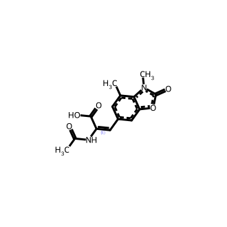 CC(=O)N/C(=C/c1cc(C)c2c(c1)oc(=O)n2C)C(=O)O